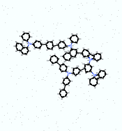 c1ccc(-c2ccc(N(c3ccc(-c4ccccc4)cc3)c3ccc(-c4cc(-n5c6ccccc6c6ccccc65)cc(-n5c6ccccc6c6ccc(-c7cc(N(c8ccccc8)c8ccc(-c9ccc(-c%10ccc(N(c%11ccccc%11)c%11cccc%12ccccc%11%12)cc%10)cc9)cc8)c8ccccc8c7)cc65)c4)cc3)cc2)cc1